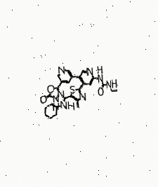 CCNC(=O)Nc1cc(-c2nc(C)c(CNC3CCCCC3)s2)c(-c2cncc(-c3n[nH]c(=O)o3)c2)cn1